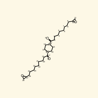 O=C(CCCCCCCCC1CO1)N1CCN(C(=O)CCCCCCCCC2CO2)CC1